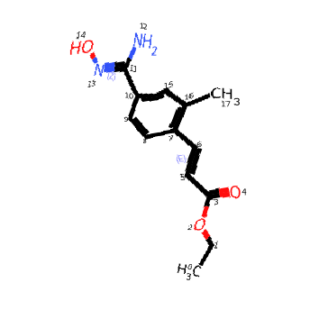 CCOC(=O)/C=C/c1ccc(/C(N)=N/O)cc1C